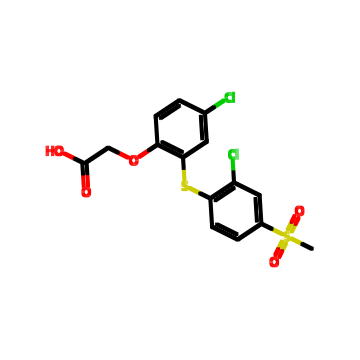 CS(=O)(=O)c1ccc(Sc2cc(Cl)ccc2OCC(=O)O)c(Cl)c1